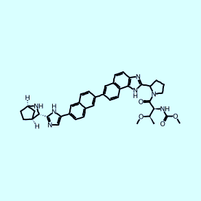 COC(=O)N[C@H](C(=O)N1CCCC1c1nc2ccc3cc(-c4ccc5cc(-c6cnc([C@H]7N[C@@H]8CC[C@H]7C8)[nH]6)ccc5c4)ccc3c2[nH]1)[C@@H](C)OC